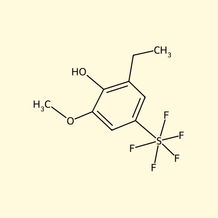 CCc1cc(S(F)(F)(F)(F)F)cc(OC)c1O